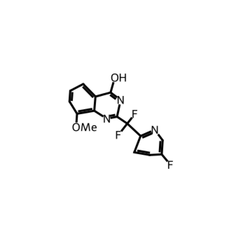 COc1cccc2c(O)nc(C(F)(F)c3ccc(F)cn3)nc12